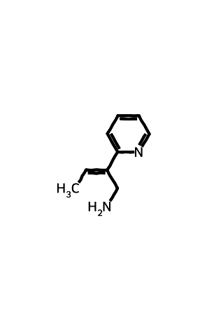 C/C=C(\CN)c1ccccn1